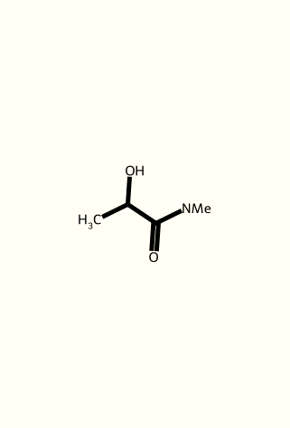 CNC(=O)C(C)O